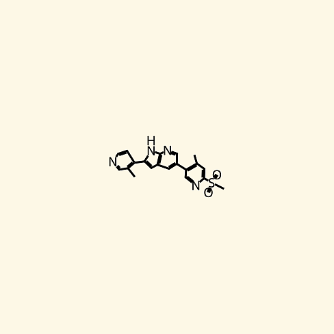 Cc1cc(S(C)(=O)=O)ncc1-c1cnc2[nH]c(-c3ccncc3C)cc2c1